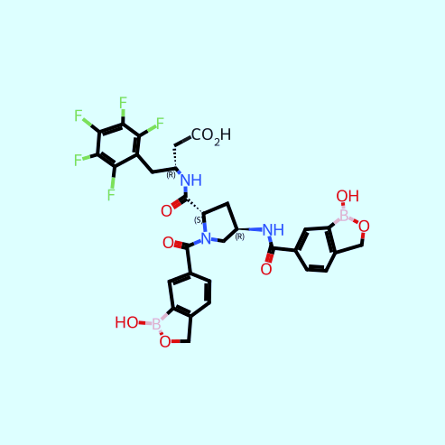 O=C(O)C[C@@H](Cc1c(F)c(F)c(F)c(F)c1F)NC(=O)[C@@H]1C[C@@H](NC(=O)c2ccc3c(c2)B(O)OC3)CN1C(=O)c1ccc2c(c1)B(O)OC2